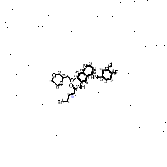 O=C(/C=C/CBr)Nc1cc2c(Nc3ccc(F)c(Cl)c3)ncnc2cc1OCC1COCCO1